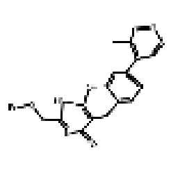 Cc1cnccc1-c1ccc(Cc2c(O)[nH]c(COC(C)C)nc2=O)cc1